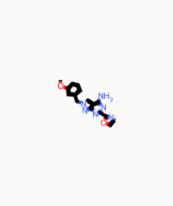 COc1cccc(Cn2cc3c(N)nc(-c4ncco4)nc3n2)c1